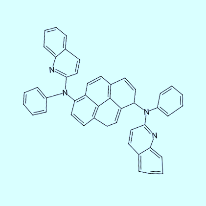 C1=CC(N(c2ccccc2)c2ccc3ccccc3n2)C2=CCc3ccc(N(c4ccccc4)c4ccc5ccccc5n4)c4ccc1c2c34